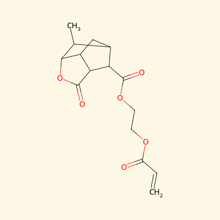 C=CC(=O)OCCOC(=O)C1C2CC3C(OC(=O)C31)C2C